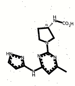 Cc1cc(Nc2cc[nH]n2)nc(N2CC[C@H](NC(=O)O)C2)n1